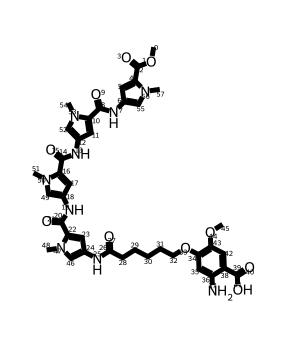 COC(=O)c1cc(NC(=O)c2cc(NC(=O)c3cc(NC(=O)c4cc(NC(=O)CCCCCOc5cc(N)c(C(=O)O)cc5OC)cn4C)cn3C)cn2C)cn1C